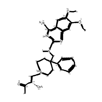 COc1cc2nc(N(C)CC3(c4ccccc4)CCN(C[C@H](O)C(C)=O)CC3)nc(N)c2cc1OC